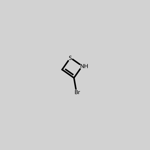 Brc1cs[nH]1